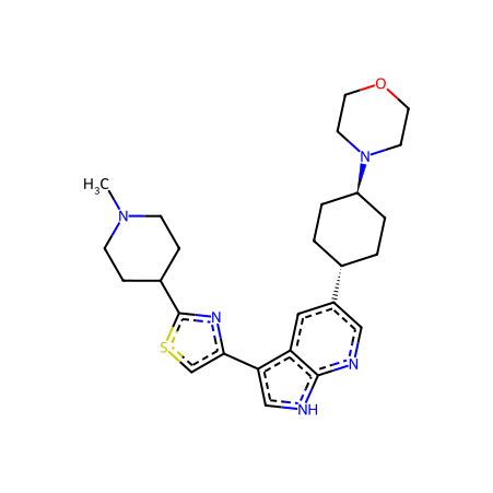 CN1CCC(c2nc(-c3c[nH]c4ncc([C@H]5CC[C@H](N6CCOCC6)CC5)cc34)cs2)CC1